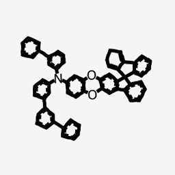 C1=C2C(=CCC1)C1(c3ccccc32)c2ccccc2-c2cc3c(cc21)Oc1cc(N(c2cccc(-c4ccccc4)c2)c2cccc(-c4cccc(-c5ccccc5)c4)c2)ccc1O3